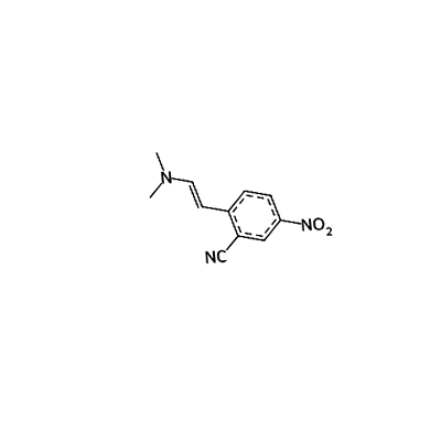 CN(C)C=Cc1ccc([N+](=O)[O-])cc1C#N